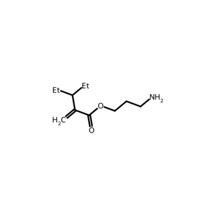 C=C(C(=O)OCCCN)C(CC)CC